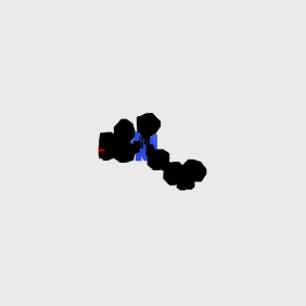 CC1(C)c2ccccc2-c2cc(-c3ccc(-c4nc(-c5ccccc5)nc(-c5cccc6c5-c5ccccc5C65C6CC7CC(C6)C5C7)n4)cc3)ccc21